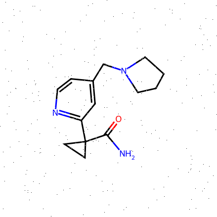 NC(=O)C1(c2cc(CN3CCCC3)ccn2)CC1